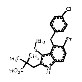 CC(C)c1ccc2[nH]c(CC(C)(C)C(=O)O)c(SC(C)(C)C)c2c1Cc1ccc(Cl)cc1